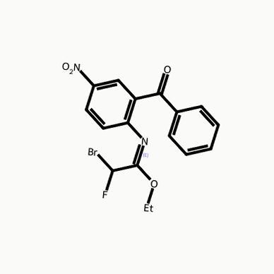 CCO/C(=N/c1ccc([N+](=O)[O-])cc1C(=O)c1ccccc1)C(F)Br